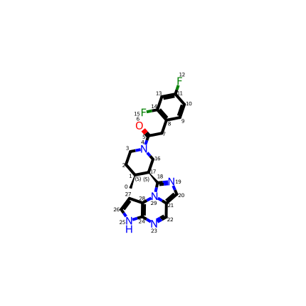 C[C@H]1CCN(C(=O)Cc2ccc(F)cc2F)C[C@H]1c1ncc2cnc3[nH]ccc3n12